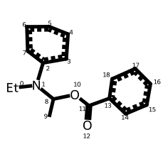 CCN(c1ccccc1)C(C)OC(=O)c1ccccc1